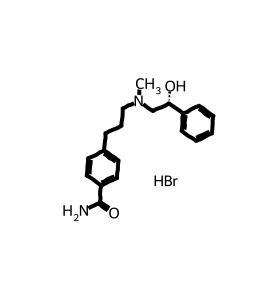 Br.CN(CCCc1ccc(C(N)=O)cc1)C[C@H](O)c1ccccc1